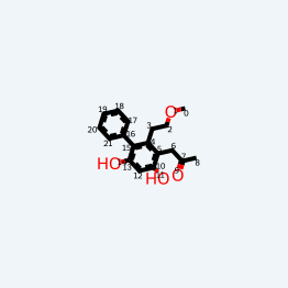 COCCc1c(CC(C)=O)c(O)cc(O)c1-c1ccccc1